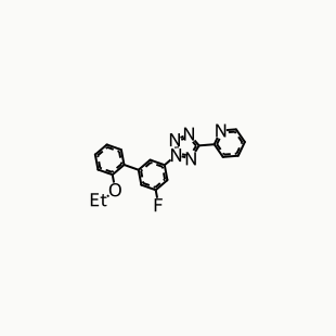 CCOc1ccccc1-c1cc(F)cc(-n2nnc(-c3ccccn3)n2)c1